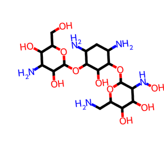 NCC1OC(OC2C(N)CC(N)C(OC3OC(CO)C(O)C(N)C3O)C2O)C(NO)C(O)C1O